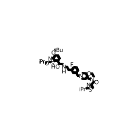 CC(C)Oc1nc2c(OC(C)(C)C)ccc([C@@H](O)CNCCc3cc(CN4CCC5(CC4)CN(C(=O)c4csc(C(C)C)n4)CCO5)ccc3F)c2s1